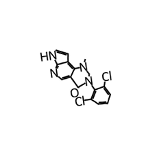 CN1CN(c2c(Cl)cccc2Cl)C(=O)c2cnc3[nH]ccc3c21